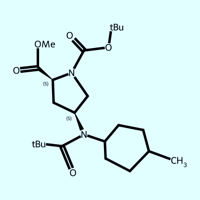 COC(=O)[C@@H]1C[C@H](N(C(=O)C(C)(C)C)C2CCC(C)CC2)CN1C(=O)OC(C)(C)C